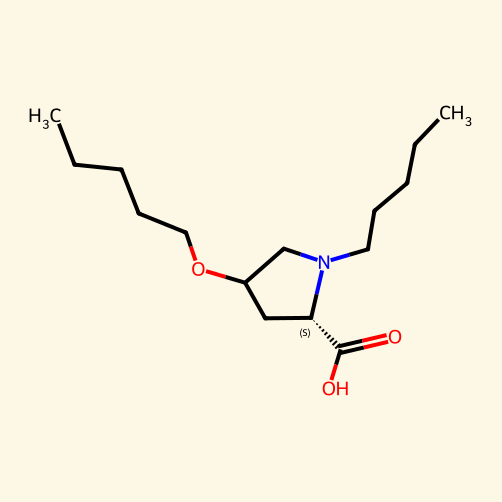 CCCCCOC1C[C@@H](C(=O)O)N(CCCCC)C1